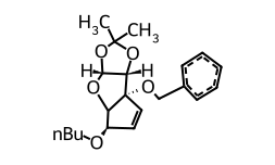 CCCCO[C@@H]1C=C[C@@]2(OCc3ccccc3)C1O[C@@H]1OC(C)(C)O[C@@H]12